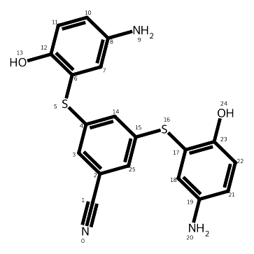 N#Cc1cc(Sc2cc(N)ccc2O)cc(Sc2cc(N)ccc2O)c1